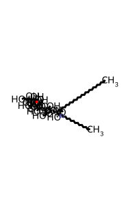 CCCCCCCCCCCCC/C=C/[C@@H](O)[C@H](CO[C@@H]1OC(CO)[C@@H](O[C@@H]2OC(CO)[C@H](O)[C@H](O[C@]3(C(=O)O)CC(O)[C@@H](O)C([C@H](O)[C@H](O)CO)O3)C2O)[C@H](O)C1O)NC(=O)CCCCCCCCCCCCCCCCCCCCCCC